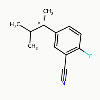 CC(C)[C@H](C)c1ccc(F)c(C#N)c1